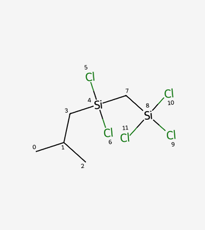 CC(C)C[Si](Cl)(Cl)C[Si](Cl)(Cl)Cl